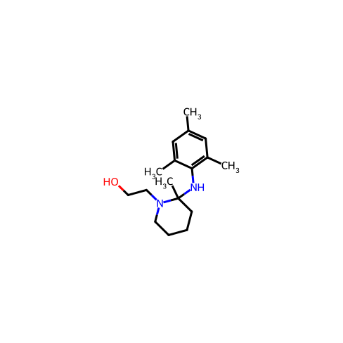 Cc1cc(C)c(NC2(C)CCCCN2CCO)c(C)c1